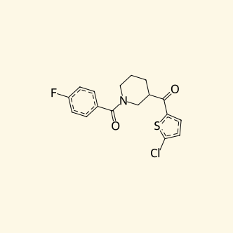 O=C(c1ccc(Cl)s1)C1CCCN(C(=O)c2ccc(F)cc2)C1